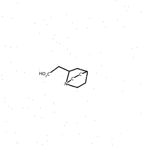 O=C(O)CC1CC2CCN1CC2